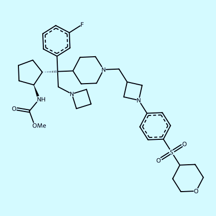 COC(=O)N[C@H]1CCC[C@@H]1C(CN1CCC1)(c1cccc(F)c1)C1CCN(CC2CN(c3ccc(S(=O)(=O)C4CCOCC4)cc3)C2)CC1